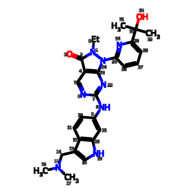 CCn1c(=O)c2cnc(Nc3ccc4c(CN(C)C)c[nH]c4c3)nc2n1-c1cccc(C(C)(C)O)n1